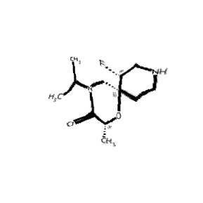 CC(C)N1C[C@]2(CCNC[C@H]2F)O[C@H](C)C1=O